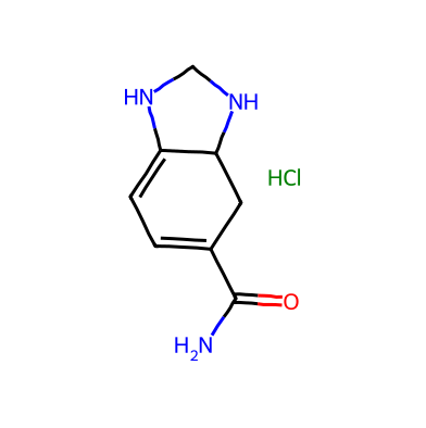 Cl.NC(=O)C1=CC=C2NCNC2C1